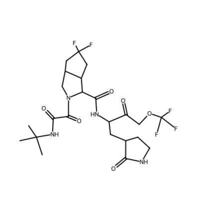 CC(C)(C)NC(=O)C(=O)N1CC2CC(F)(F)CC2C1C(=O)NC(CC1CCNC1=O)C(=O)COC(F)(F)F